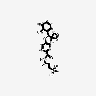 C[C@H](/C=C/S(C)(=O)=O)NC(=O)c1ncc(O[C@@H](c2cccc(F)c2Cl)C2(F)COC2)cn1